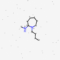 CCCCN1CCCCCC1NC